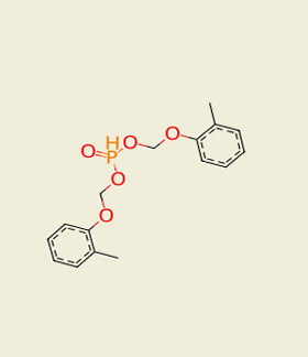 Cc1ccccc1OCO[PH](=O)OCOc1ccccc1C